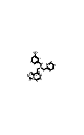 Brc1cccc(CN(Cc2ccccn2)Cc2nccn3cnnc23)c1